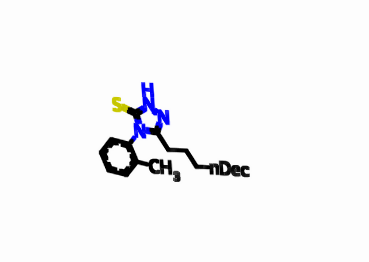 CCCCCCCCCCCCCc1n[nH]c(=S)n1-c1ccccc1C